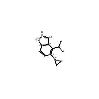 CC(C)c1c(C2CC2)ccc2[nH]ncc12